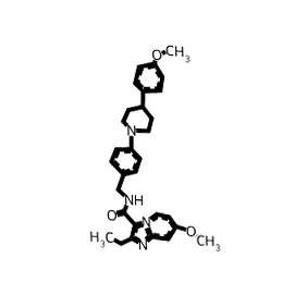 CCc1nc2cc(OC)ccn2c1C(=O)NCc1ccc(N2CCC(c3ccc(OC)cc3)CC2)cc1